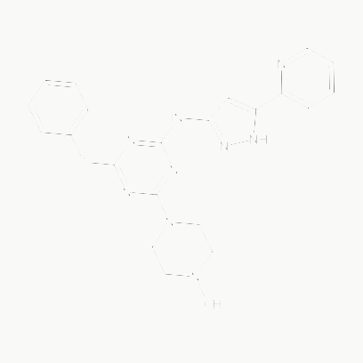 CN1CCN(c2nc(Nc3cc(-c4ccccn4)[nH]n3)nc(Sc3ccccc3)n2)CC1